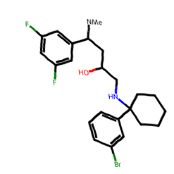 CNC(CC(O)CNC1(c2cccc(Br)c2)CCCCC1)c1cc(F)cc(F)c1